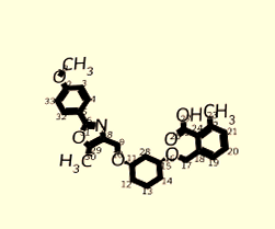 COc1ccc(-c2nc(CO[C@@H]3CCC[C@H](OCc4cccc(C)c4C(=O)O)C3)c(C)o2)cc1